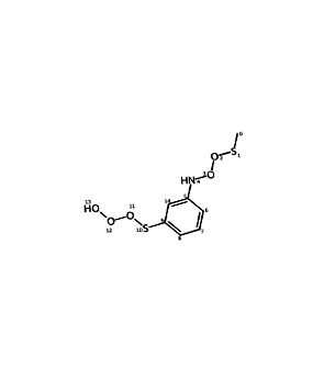 CSOONc1cccc(SOOO)c1